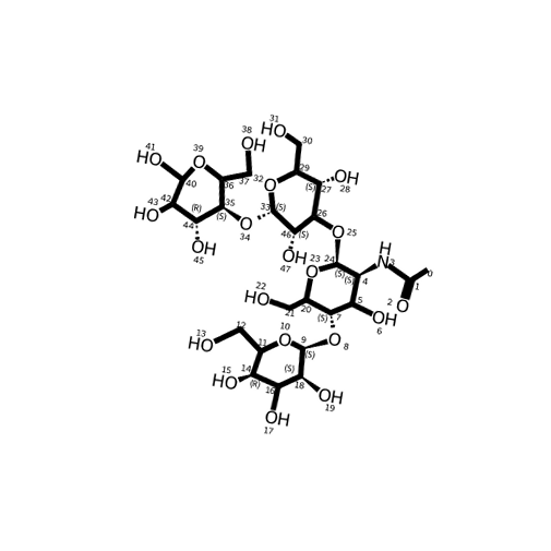 CC(=O)N[C@H]1C(O)[C@H](O[C@@H]2OC(CO)[C@H](O)C(O)[C@@H]2O)C(CO)O[C@H]1OC1[C@@H](O)C(CO)O[C@@H](O[C@@H]2C(CO)OC(O)C(O)[C@H]2O)[C@H]1O